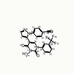 Cn1c(=O)c(-c2ccnn2-c2ccc(C#N)cc2)cn(-c2cccc(C(F)(F)F)c2)c1=O